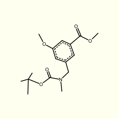 COC(=O)c1cc(CN(C)C(=O)OC(C)(C)C)cc(OC)c1